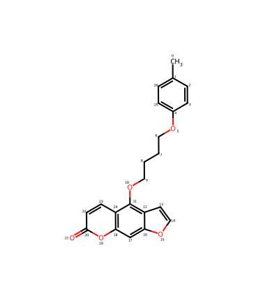 Cc1ccc(OCCCCOc2c3ccoc3cc3oc(=O)ccc23)cc1